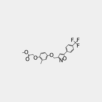 COC(=O)COc1ccc(OCc2cc(-c3ccc(C(F)(F)F)cc3)on2)cc1C